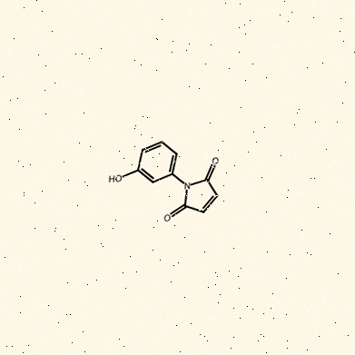 O=C1C=CC(=O)N1c1cccc(O)c1